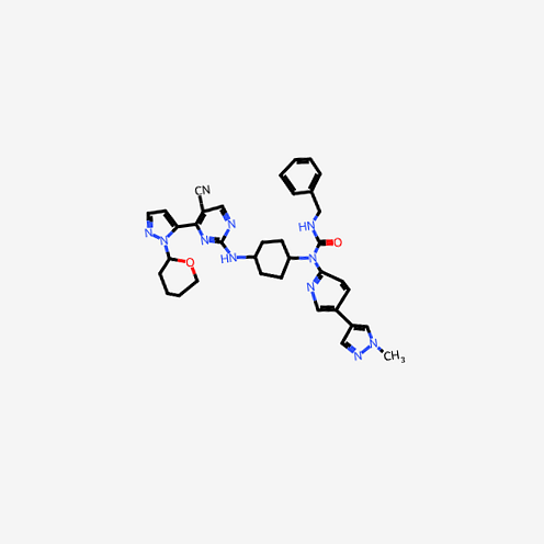 Cn1cc(-c2ccc(N(C(=O)NCc3ccccc3)C3CCC(Nc4ncc(C#N)c(-c5ccnn5C5CCCCO5)n4)CC3)nc2)cn1